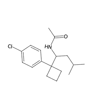 CC(=O)NC(CC(C)C)C1(c2ccc(Cl)cc2)CCC1